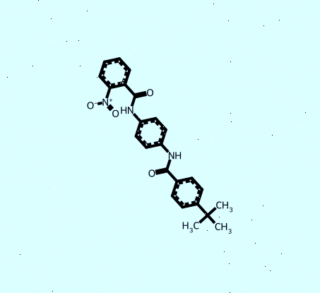 CC(C)(C)c1ccc(C(=O)Nc2ccc(NC(=O)c3ccccc3[N+](=O)[O-])cc2)cc1